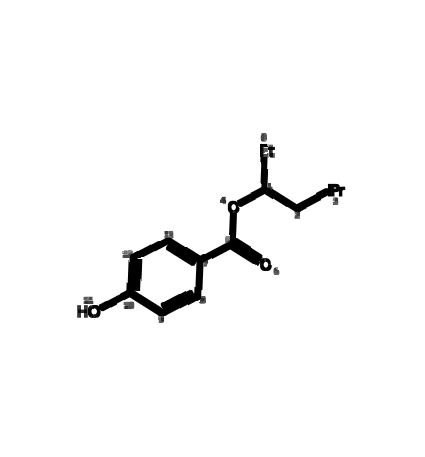 CCC(CC(C)C)OC(=O)c1ccc(O)cc1